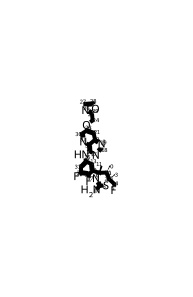 C[C@@H]1[C@@](C)(CF)SC(N)=N[C@]1(C)c1cc(Nc2ncnc3cc(OCc4ncco4)cnc23)cc(F)c1F